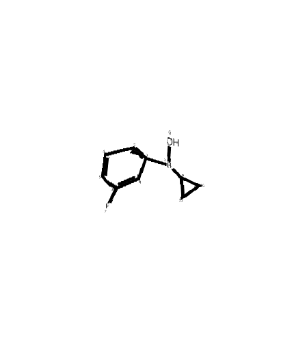 OB(c1cccc(F)c1)C1CC1